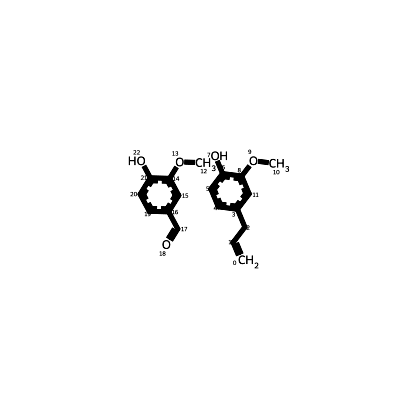 C=CCc1ccc(O)c(OC)c1.COc1cc(C=O)ccc1O